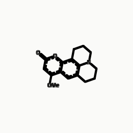 COc1cc(=O)oc2c3c4c(cc12)CCCN4CCC3